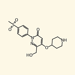 CS(=O)(=O)c1ccc(-n2nc(CO)c(OC3CCNCC3)cc2=O)cc1